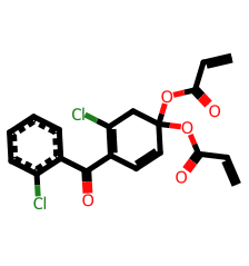 C=CC(=O)OC1(OC(=O)C=C)C=CC(C(=O)c2ccccc2Cl)=C(Cl)C1